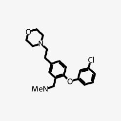 CNCc1cc(CCN2CCOCC2)ccc1Oc1cccc(Cl)c1